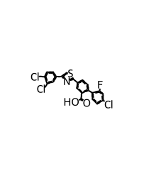 O=C(O)c1cc(-c2nc(-c3ccc(Cl)c(Cl)c3)cs2)ccc1-c1ccc(Cl)cc1F